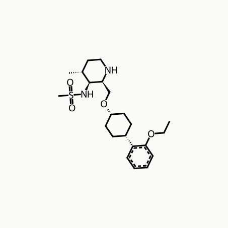 CCOc1ccccc1[C@H]1CC[C@@H](OC[C@@H]2NCC[C@@H](C)[C@@H]2NS(C)(=O)=O)CC1